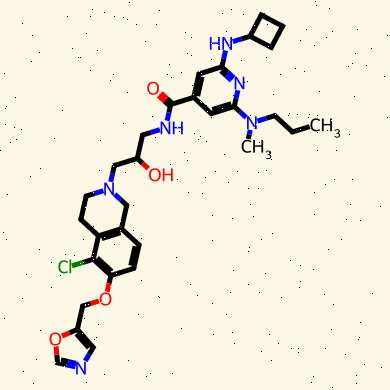 CCCN(C)c1cc(C(=O)NCC(O)CN2CCc3c(ccc(OCc4cnco4)c3Cl)C2)cc(NC2CCC2)n1